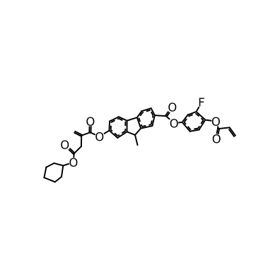 C=CC(=O)Oc1ccc(OC(=O)c2ccc3c(c2)C(C)c2cc(OC(=O)C(=C)CC(=O)OC4CCCCC4)ccc2-3)cc1F